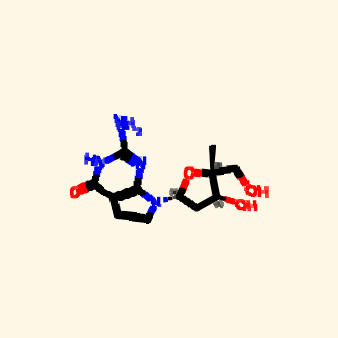 C[C@]1(CO)O[C@@H](n2ccc3c(=O)[nH]c(N)nc32)C[C@@H]1O